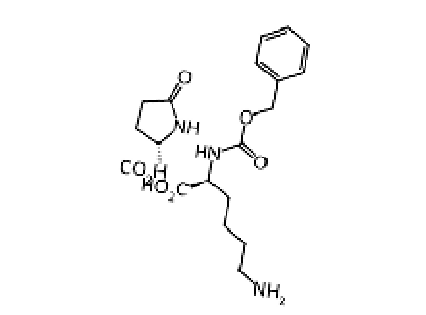 NCCCC[C@H](NC(=O)OCc1ccccc1)C(=O)O.O=C1CC[C@@H](C(=O)O)N1